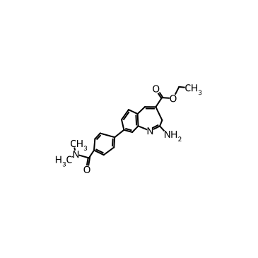 CCOC(=O)C1=Cc2ccc(-c3ccc(C(=O)N(C)C)cc3)cc2N=C(N)C1